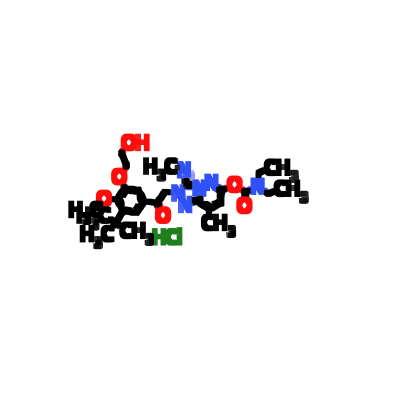 CCN(CC)C(=O)Oc1cc(C)c2nn(CC(=O)c3cc(OCCO)c(OC)c(C(C)(C)C)c3)/c(=N\C)n2n1.Cl